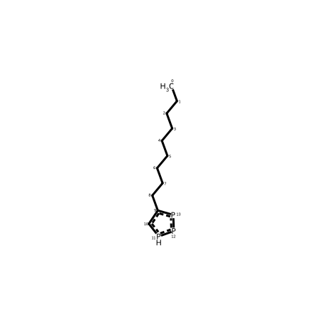 CCCCCCCCCc1c[pH]pp1